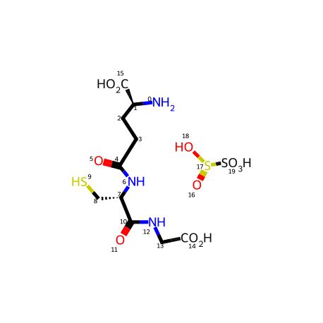 N[C@@H](CCC(=O)N[C@@H](CS)C(=O)NCC(=O)O)C(=O)O.O=S(O)S(=O)(=O)O